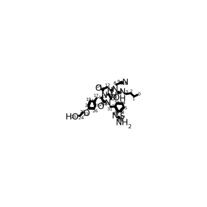 CCCCNC(=O)N(CC#N)N1CC(=O)N2[C@@H](Cc3ccc(OCCO)cc3)C(=O)N(Cc3cccc4sc(N)nc34)C[C@@H]21